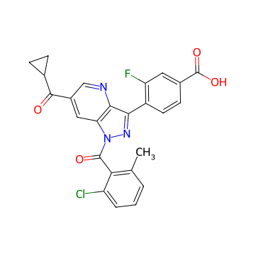 Cc1cccc(Cl)c1C(=O)n1nc(-c2ccc(C(=O)O)cc2F)c2ncc(C(=O)C3CC3)cc21